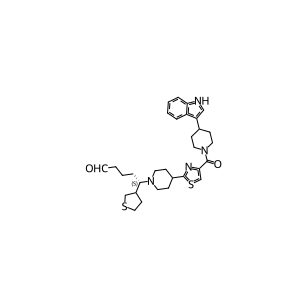 O=CCCC[C@@H](C1CCSC1)N1CCC(c2nc(C(=O)N3CCC(c4c[nH]c5ccccc45)CC3)cs2)CC1